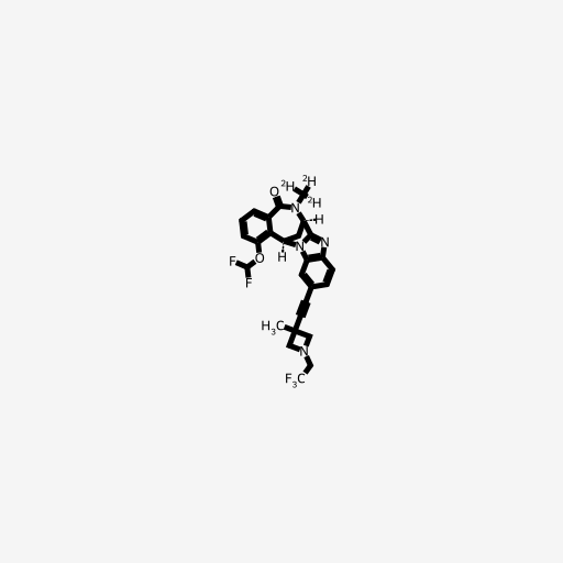 [2H]C([2H])([2H])N1C(=O)c2cccc(OC(F)F)c2[C@H]2C[C@@H]1c1nc3ccc(C#CC4(C)CN(CC(F)(F)F)C4)cc3n12